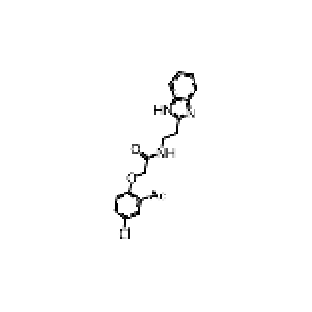 CC(=O)c1cc(Cl)ccc1OCC(=O)NCCc1nc2ccccc2[nH]1